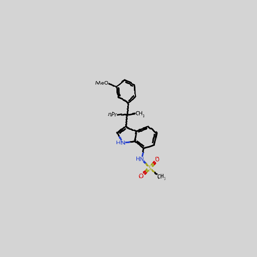 CCCC(C)(c1cccc(OC)c1)c1c[nH]c2c(NS(C)(=O)=O)cccc12